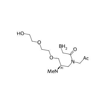 BCC(=O)N(CC(C)=O)C[C@H](COCCOCCO)NC